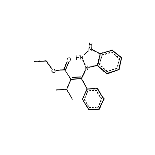 CCOC(=O)C(=C(c1ccccc1)N1NNc2ccccc21)C(C)C